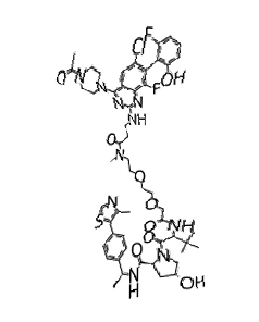 CC(=O)N1CCN(c2nc(NCCC(=O)N(C)CCOCCOCC(=O)N[C@H](C(=O)N3C[C@H](O)C[C@H]3C(=O)N[C@@H](C)c3ccc(-c4scnc4C)cc3)C(C)(C)C)nc3c(F)c(-c4c(O)cccc4F)c(Cl)cc23)CC1